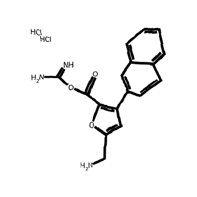 Cl.Cl.N=C(N)OC(=O)c1oc(CN)cc1-c1ccc2ccccc2c1